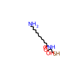 NCCCCCCCCCCCCC(=O)NC(CCS)C(=O)O